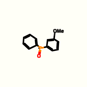 COc1cccc([P](=O)c2ccccc2)c1